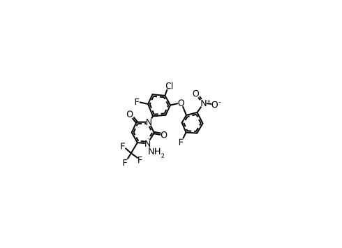 Nn1c(C(F)(F)F)cc(=O)n(-c2cc(Oc3cc(F)ccc3[N+](=O)[O-])c(Cl)cc2F)c1=O